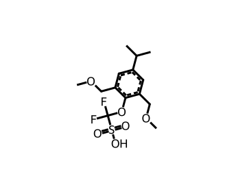 COCc1cc(C(C)C)cc(COC)c1OC(F)(F)S(=O)(=O)O